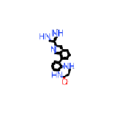 CN/C=C(\C=N)c1cc2cccc(-c3cccc4c3N[C@H](C)CC(=O)N4)c2cn1